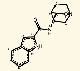 O=C(NC1CN2CCC1CC2)c1cc2ccccc2[nH]1